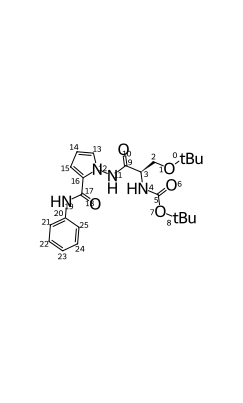 CC(C)(C)OC[C@@H](NC(=O)OC(C)(C)C)C(=O)Nn1cccc1C(=O)Nc1ccccc1